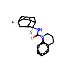 O=C(N[C@H]1C2CC3CC1C[C@](F)(C3)C2)N1CCCc2ccccc21